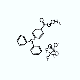 COC(=O)c1ccc([S+](c2ccccc2)c2ccccc2)cc1.O=S(=O)([O-])C(F)(F)F